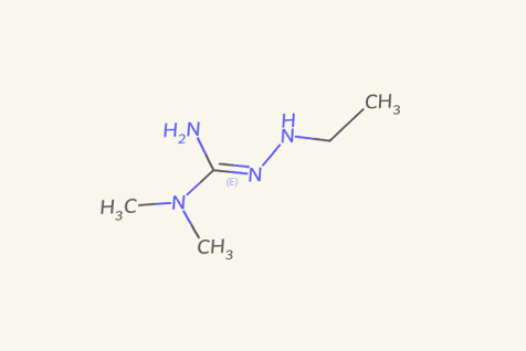 CCN/N=C(\N)N(C)C